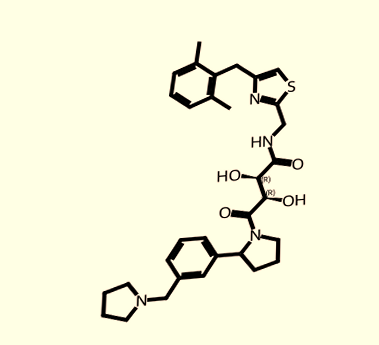 Cc1cccc(C)c1Cc1csc(CNC(=O)[C@H](O)[C@@H](O)C(=O)N2CCCC2c2cccc(CN3CCCC3)c2)n1